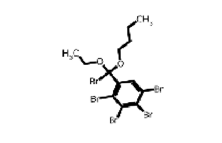 CCCCOC(Br)(OCC)c1cc(Br)c(Br)c(Br)c1Br